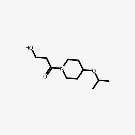 CC(C)OC1CCN(C(=O)CCO)CC1